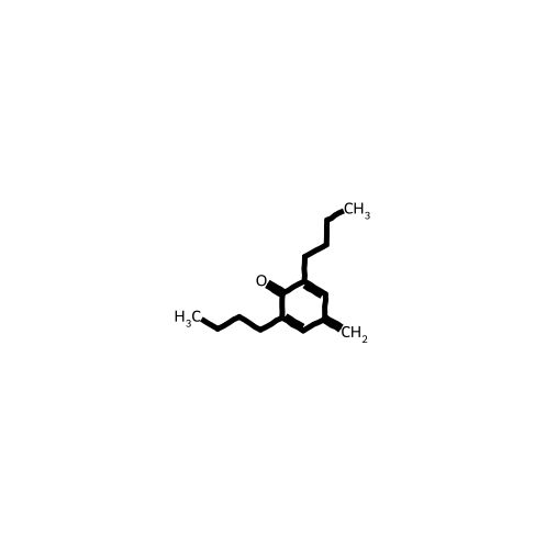 C=C1C=C(CCCC)C(=O)C(CCCC)=C1